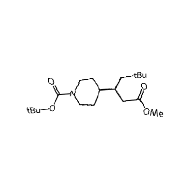 COC(=O)CC(CC(C)(C)C)C1CCN(C(=O)OC(C)(C)C)CC1